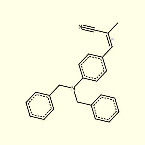 C/C(C#N)=C/c1ccc(N(Cc2ccccc2)Cc2ccccc2)cc1